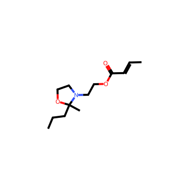 CC=CC(=O)OCCN1CCOC1(C)CCC